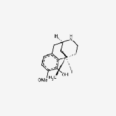 COc1ccc2c(c1O)[C@]13CCN[C@H](C2)C1C=C[C@H](C)[C@@H]3I